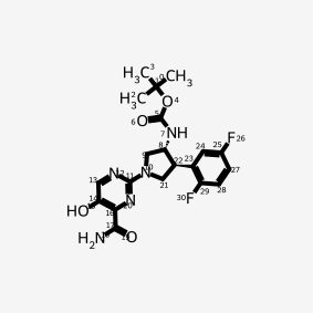 CC(C)(C)OC(=O)N[C@H]1CN(c2ncc(O)c(C(N)=O)n2)C[C@@H]1c1cc(F)ccc1F